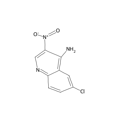 Nc1c([N+](=O)[O-])cnc2ccc(Cl)cc12